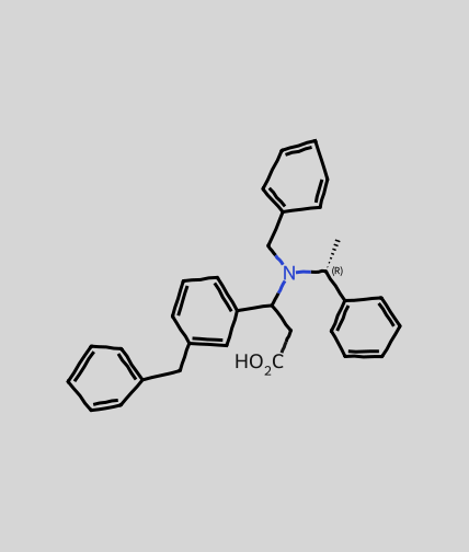 C[C@H](c1ccccc1)N(Cc1ccccc1)C(CC(=O)O)c1cccc(Cc2ccccc2)c1